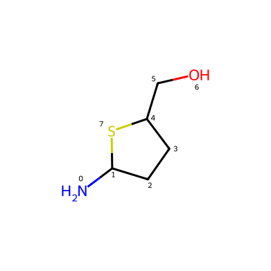 NC1CCC(CO)S1